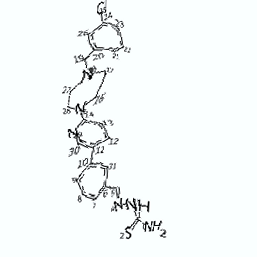 NC(=S)NN=Cc1cccc(-c2ccc(N3CCN(Cc4cccc(Cl)c4)CC3)nc2)c1